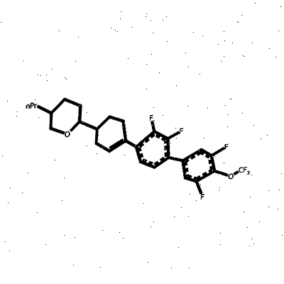 CCCC1CCC(C2CC=C(c3ccc(-c4cc(F)c(OC(F)(F)F)c(F)c4)c(F)c3F)CC2)OC1